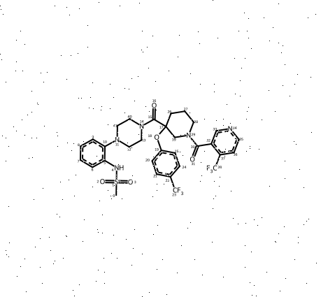 CS(=O)(=O)Nc1ccccc1N1CCN(C(=O)C2(Oc3ccc(C(F)(F)F)cc3)CCCN(C(=O)c3cnccc3C(F)(F)F)C2)CC1